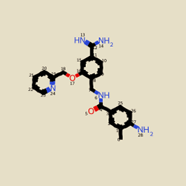 Cc1cc(C(=O)NCc2ccc(C(=N)N)cc2OCc2ccccn2)ccc1N